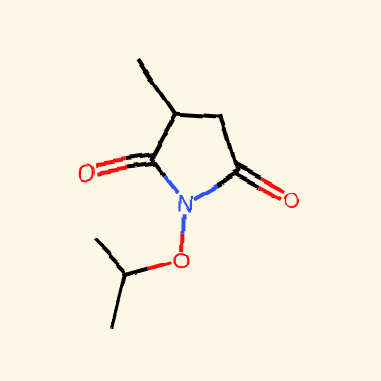 CC(C)ON1C(=O)CC(C)C1=O